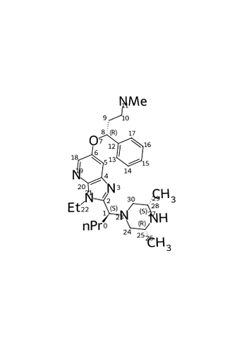 CCC[C@@H](c1nc2cc(O[C@H](CCNC)c3ccccc3)cnc2n1CC)N1C[C@@H](C)N[C@@H](C)C1